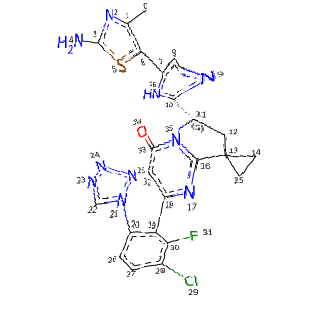 Cc1nc(N)sc1-c1cnc([C@@H]2CC3(CC3)c3nc(-c4c(-n5cnnn5)ccc(Cl)c4F)cc(=O)n32)[nH]1